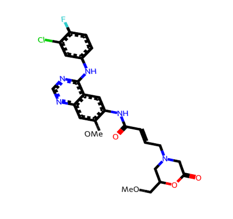 COCC1CN(CC=CC(=O)Nc2cc3c(Nc4ccc(F)c(Cl)c4)ncnc3cc2OC)CC(=O)O1